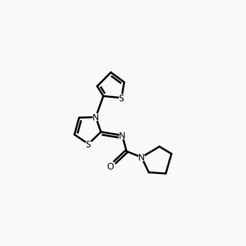 O=C(N=c1sccn1-c1cccs1)N1CCCC1